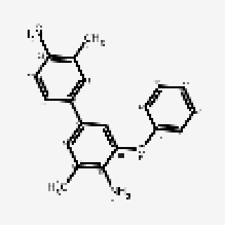 Cc1cc(-c2cc(C)c(N)c(Oc3ccccc3)c2)ccc1N